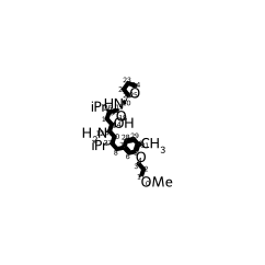 COCCCOc1cc(C[C@@H](C[C@H](N)[C@@H](O)C[C@H](C(=O)NC[C@@H]2CCCO2)C(C)C)C(C)C)ccc1C